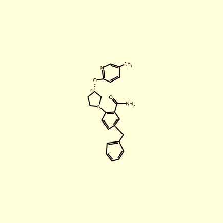 NC(=O)c1cc(Cc2ccccc2)ccc1N1CC[C@H](Oc2ccc(C(F)(F)F)cn2)C1